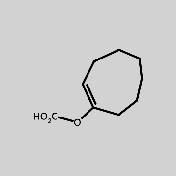 O=C(O)OC1=CCCCCCC1